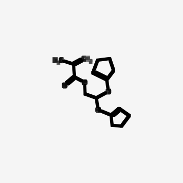 C=C(C)C(=O)OCC(OC1=CCCC1)OC1=CCCC1